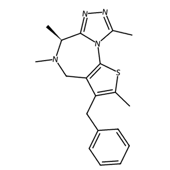 Cc1sc2c(c1Cc1ccccc1)CN(C)[C@@H](C)c1nnc(C)n1-2